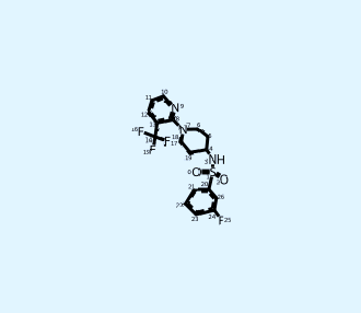 O=S(=O)(NC1CCN(c2ncccc2C(F)(F)F)CC1)c1cccc(F)c1